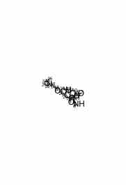 CNC(=O)[C@H]1CC(=O)[C@@]2(C)CC[C@@H]3c4ccc(OCCCN5CCC[C@H]5C)cc4CC[C@H]3[C@H]12